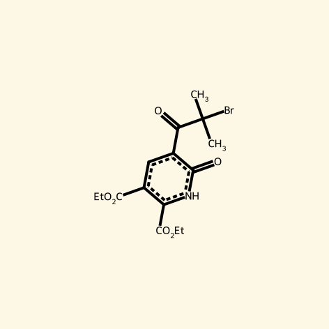 CCOC(=O)c1cc(C(=O)C(C)(C)Br)c(=O)[nH]c1C(=O)OCC